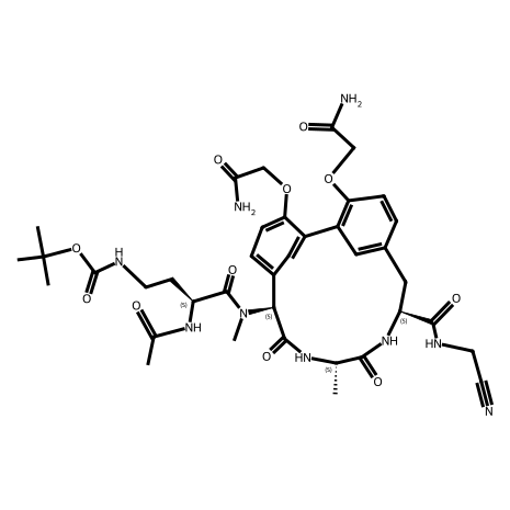 CC(=O)N[C@@H](CCNC(=O)OC(C)(C)C)C(=O)N(C)[C@@H]1C(=O)N[C@@H](C)C(=O)N[C@H](C(=O)NCC#N)Cc2ccc(OCC(N)=O)c(c2)-c2cc1ccc2OCC(N)=O